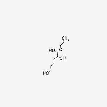 C=CCO[C@@H](O)[C@H](O)CCCCO